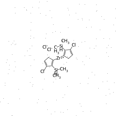 C[SiH](C)C1=[C]([Zr+2][C]2=C([SiH](C)C)C(Cl)=CC2)CC=C1Cl.[Cl-].[Cl-]